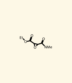 CCOC(=O)C1OC1C(=O)NC